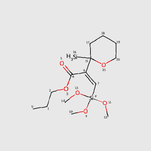 CCCOC(=O)C(=C[Si](OC)(OC)OC)C1([SiH3])CCCCO1